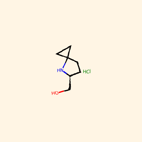 Cl.OC[C@@H]1CCC2(CC2)N1